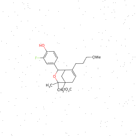 CCOC(=O)C12CC=C(CCCOC)C(C1)C(c1ccc(O)c(F)c1)OC2(C)C